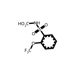 O=C(O)NS(=O)(=O)c1ccccc1OC(F)(F)F